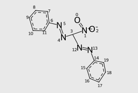 O=[N+]([O-])C(N=Nc1ccccc1)N=Nc1ccccc1